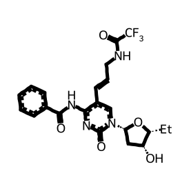 CC[C@H]1O[C@@H](n2cc(/C=C/CNC(=O)C(F)(F)F)c(NC(=O)c3ccccc3)nc2=O)C[C@H]1O